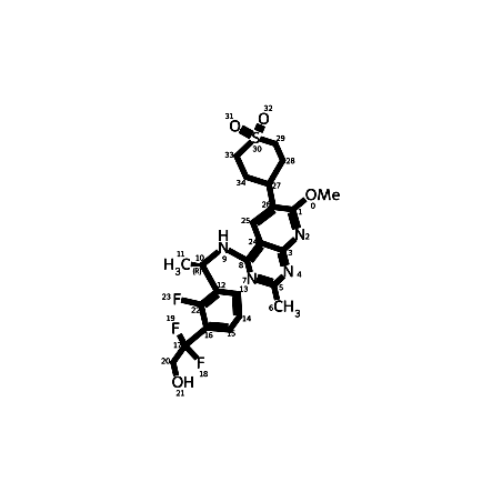 COc1nc2nc(C)nc(N[C@H](C)c3cccc(C(F)(F)CO)c3F)c2cc1C1CCS(=O)(=O)CC1